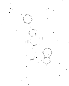 Cc1nn(-c2ccccc2)c(C)c1NC(=O)COC(=O)Cn1c(C(C)C)cc2ccccc21